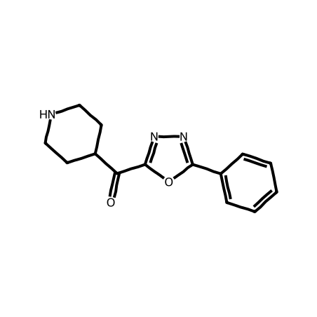 O=C(c1nnc(-c2ccccc2)o1)C1CCNCC1